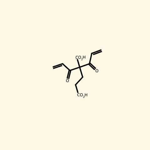 C=CC(=O)C(CCC(=O)O)(C(=O)O)C(=O)C=C